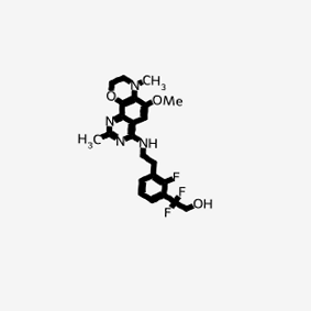 COc1cc2c(NCCc3cccc(C(F)(F)CO)c3F)nc(C)nc2c2c1N(C)CCO2